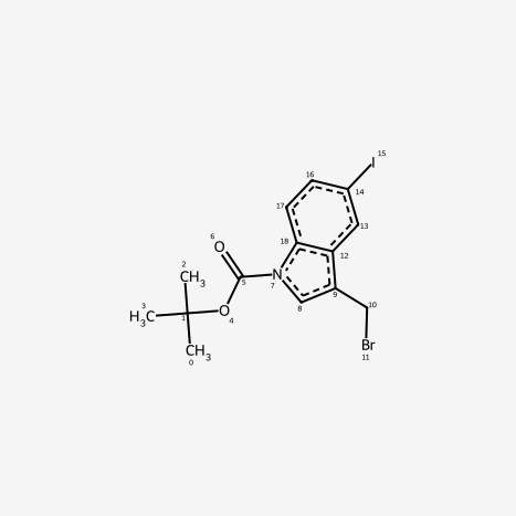 CC(C)(C)OC(=O)n1cc(CBr)c2cc(I)ccc21